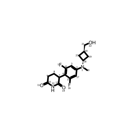 CN(c1cc(F)c(C2CCC(=O)NC2=O)c(F)c1)[C@H]1C[C@H](CO)C1